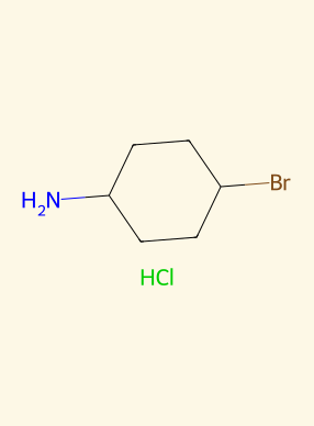 Cl.NC1CCC(Br)CC1